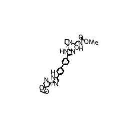 COC(=O)NCC(=O)N1CCC[C@H]1c1ncc(-c2ccc(-c3ccc(-c4cnc([C@@H]5CC6(CN5C)OCCO6)[nH]4)cc3)cc2)[nH]1